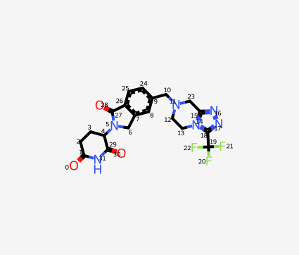 O=C1CCC(N2Cc3cc(CN4CCn5c(nnc5C(F)(F)F)C4)ccc3C2=O)C(=O)N1